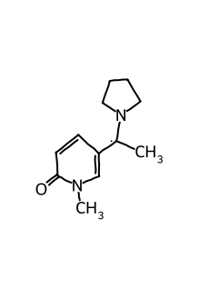 C[C](c1ccc(=O)n(C)c1)N1CCCC1